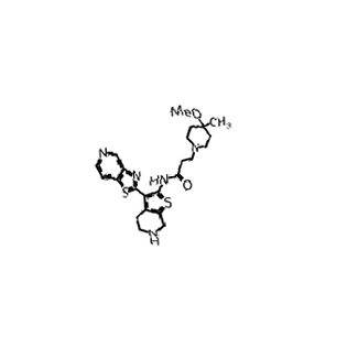 COC1(C)CCN(CCC(=O)Nc2sc3c(c2-c2nc4cnccc4s2)CCNC3)CC1